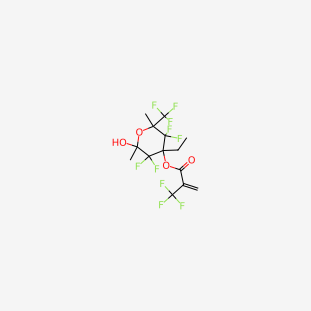 C=C(C(=O)OC1(CC)C(F)(F)C(C)(O)OC(C)(C(F)(F)F)C1(F)F)C(F)(F)F